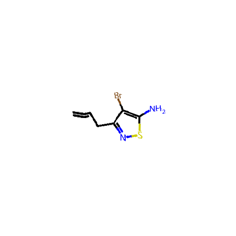 C=CCc1nsc(N)c1Br